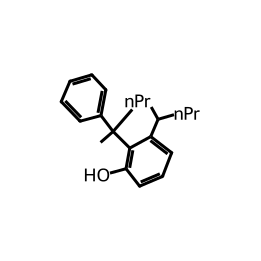 CCCC(CCC)c1cccc(O)c1C(C)(C)c1ccccc1